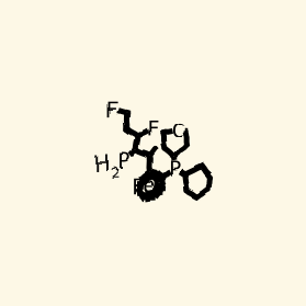 CC(C(P)C(F)CCF)[C]12[CH]3[CH]4[CH]5[C]1(P(C1CCCCC1)C1CCCCC1)[Fe]43521678[CH]2[CH]1[CH]6[CH]7[CH]28